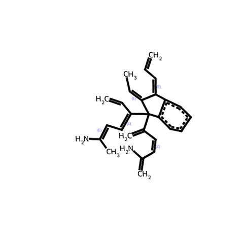 C=C/C=C1\C(=C/C)C(C(=C)/C=C\C(=C)N)(/C(C=C)=C/C=C(\C)N)c2ccccc21